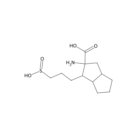 NC1(C(=O)O)CC2CCCC2C1CCCS(=O)O